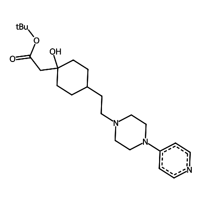 CC(C)(C)OC(=O)CC1(O)CCC(CCN2CCN(c3ccncc3)CC2)CC1